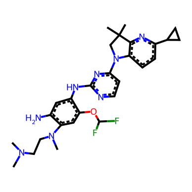 CN(C)CCN(C)c1cc(OC(F)F)c(Nc2nccc(N3CC(C)(C)c4nc(C5CC5)ccc43)n2)cc1N